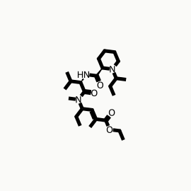 CCOC(=O)/C(C)=C/C(CC)N(C)C(=O)[C@@H](NC(=O)[C@H]1CCCCN1C(C)CC)C(C)C